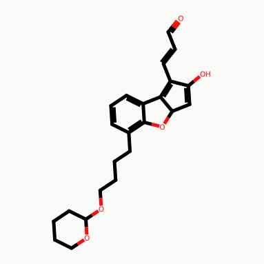 O=CC=CC1=C2c3cccc(CCCCOC4CCCCO4)c3OC2C=C1O